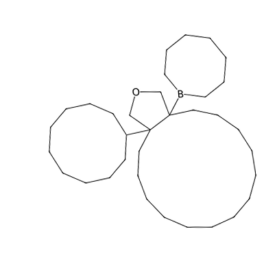 C1CCCCCCC2(B3CCCCCCC3)COCC2(C2CCCCCCCCC2)CCCCCC1